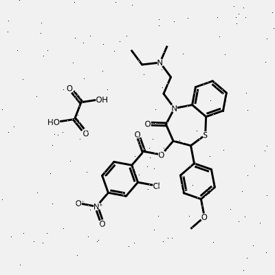 CCN(C)CCN1C(=O)C(OC(=O)c2ccc([N+](=O)[O-])cc2Cl)C(c2ccc(OC)cc2)Sc2ccccc21.O=C(O)C(=O)O